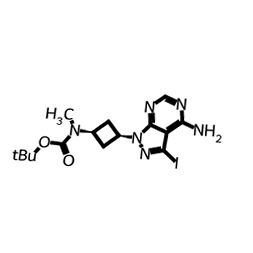 CN(C(=O)OC(C)(C)C)[C@H]1C[C@@H](n2nc(I)c3c(N)ncnc32)C1